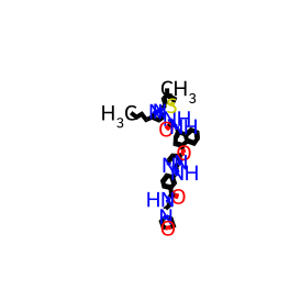 CCCCc1cc(NC(=O)Nc2ccc(Oc3ccnc(Nc4cccc(C(=O)NCCN5CCOCC5)c4)n3)c3ccccc23)n(-c2cc(C)cs2)n1